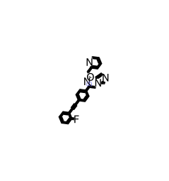 Fc1ccccc1C#Cc1ccc(/C(Cn2ccnc2)=N/OCc2ccccn2)cc1